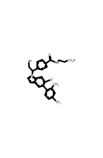 Cc1cc(C(F)(F)F)ccc1-c1cc2ccn(C(CC(C)C)c3ccc(C(=O)NCCC(=O)O)cc3)c2cc1Cl